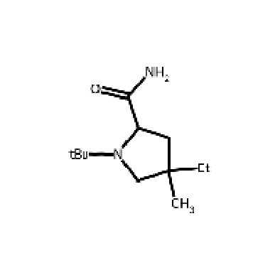 CCC1(C)CC(C(N)=O)N(C(C)(C)C)C1